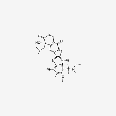 [2H]c1c(C)c(OC)c(C(C)(C)N(C)CC)c2c([2H])c3c(nc12)-c1cc2c(c(=O)n1C3)COC(=O)[C@]2(O)CC(C)C